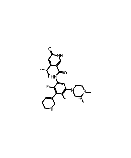 C[C@H]1CN(c2cc(NC(=O)c3c[nH]c(=O)cc3C(F)F)c(F)c(C3=CCCNC3)c2F)CCN1C